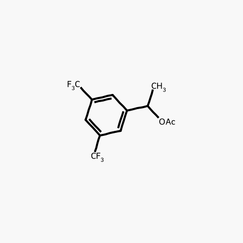 CC(=O)OC(C)c1cc(C(F)(F)F)cc(C(F)(F)F)c1